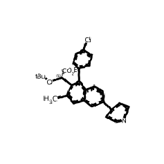 CCOC(=O)[C@@H](OC(C)(C)C)c1c(C)cc2cc(-c3ccncc3)ccc2c1-c1ccc(Cl)cc1